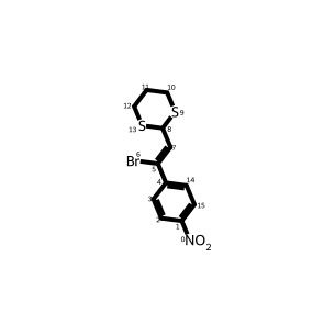 O=[N+]([O-])c1ccc(C(Br)=CC2SCCCS2)cc1